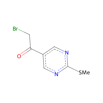 CSc1ncc(C(=O)CBr)cn1